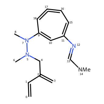 C=CC(=C)CN(C)N(C)C1=CC(/N=C/NC)=CC=C=C1